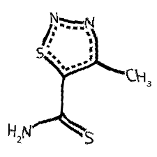 Cc1nnsc1C(N)=S